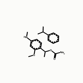 CC(C)c1ccccc1.CNc1ccc(C(C)OC(N)=O)c(OC)c1